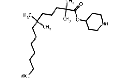 CCCCCCCCCCCCCCCCC(C)(C)CCCC(C)(C)C(=O)OC1CCNCC1